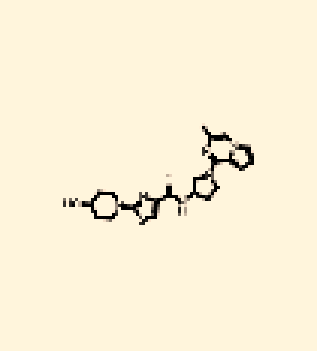 Cc1cn2cccc2c(N2CCC(NC(=O)c3csc(N4CCC(O)CC4)n3)C2)n1